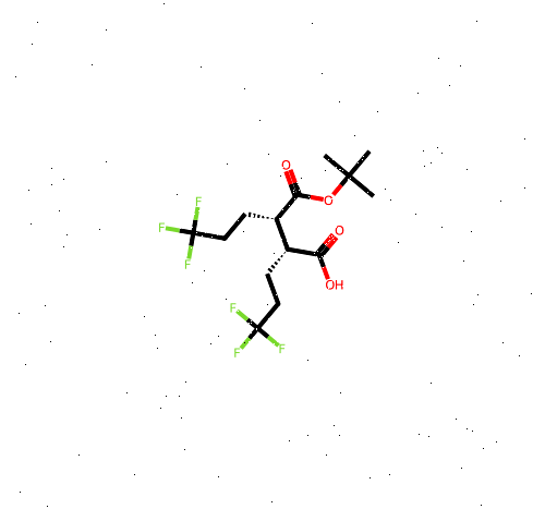 CC(C)(C)OC(=O)[C@@H](CCC(F)(F)F)[C@@H](CCC(F)(F)F)C(=O)O